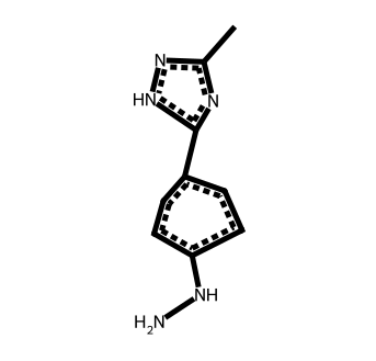 Cc1n[nH]c(-c2ccc(NN)cc2)n1